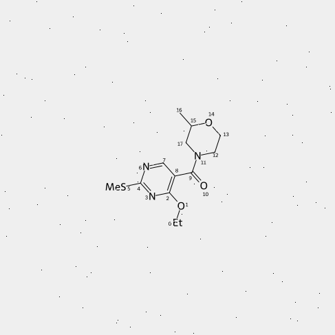 CCOc1nc(SC)ncc1C(=O)N1CCOC(C)C1